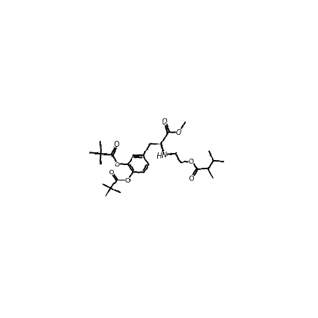 COC(=O)[C@H](Cc1ccc(OC(=O)C(C)(C)C)c(OC(=O)C(C)(C)C)c1)NCCOC(=O)C(C)C(C)C